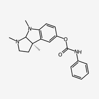 CN1CC[C@]2(C)c3cc(OC(=O)Nc4ccccc4)ccc3N(C)C12